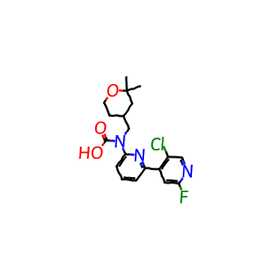 CC1(C)CC(CN(C(=O)O)c2cccc(-c3cc(F)ncc3Cl)n2)CCO1